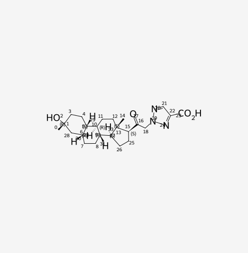 C[C@@]1(O)CC[C@H]2[C@H](CC[C@@H]3[C@@H]2CC[C@]2(C)[C@@H](C(=O)Cn4ncc(C(=O)O)n4)CC[C@@H]32)C1